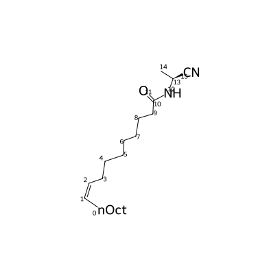 CCCCCCCC/C=C\CCCCCCCC(=O)N[C@@H](C)C#N